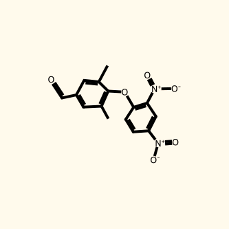 Cc1cc(C=O)cc(C)c1Oc1ccc([N+](=O)[O-])cc1[N+](=O)[O-]